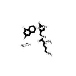 Cl.Cl.NCCC[C@H](N)C(=O)NCc1c[nH]c(=S)n1[C@H]1CCc2c(F)cc(F)cc2C1